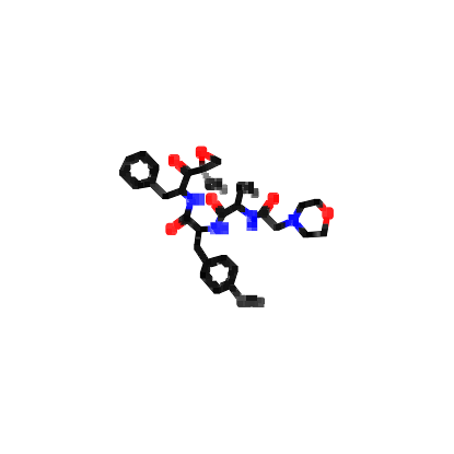 COc1ccc(CC(NC(=O)C(C)NC(=O)CN2CCOCC2)C(=O)NC(Cc2ccccc2)C(=O)[C@]2(C)CO2)cc1